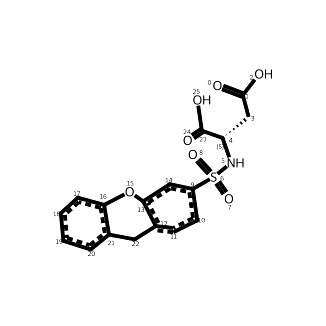 O=C(O)C[C@H](NS(=O)(=O)c1ccc2c(c1)Oc1ccccc1C2)C(=O)O